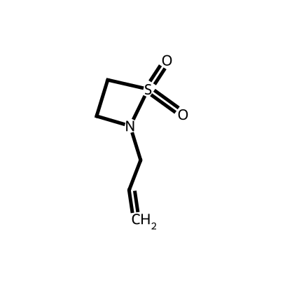 C=CCN1CCS1(=O)=O